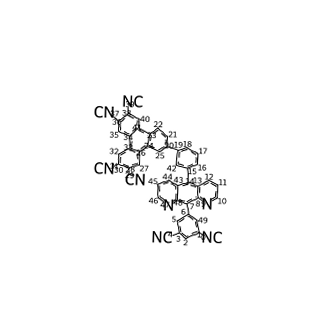 [C-]#[N+]c1cc(C#N)cc(-c2c3ncccc3c(-c3cccc(-c4ccc5c(c4)c4cc(C#N)c([N+]#[C-])cc4c4cc([N+]#[C-])c([N+]#[C-])cc54)c3)c3cccnc23)c1